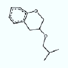 CC(C)COC1COc2ccccc2C1